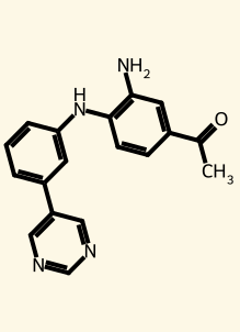 CC(=O)c1ccc(Nc2cccc(-c3cncnc3)c2)c(N)c1